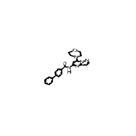 O=C(Nc1cc(N2CCOCC2)n2nccc2n1)c1ccc(-c2ccccc2)cc1